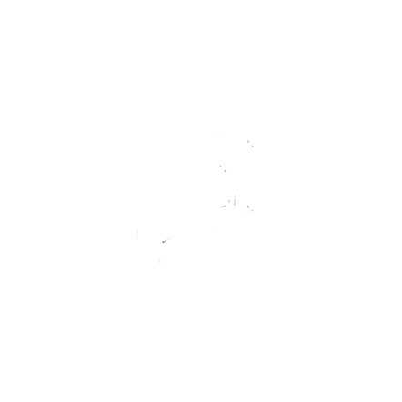 O=C(O)[C@H]1CC[C@@H](n2ncc3cnc(Cl)nc32)CC1